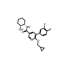 O=C(N[C@H]1CCCC[C@@H]1O)c1cnc(OCC2CC2)c(-c2ccc(F)c(F)c2)c1